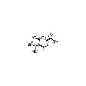 O=C1OC(=C(Br)Br)CC=C1C(Br)Br